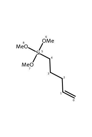 C=CCCC[Si](OC)(OC)OC